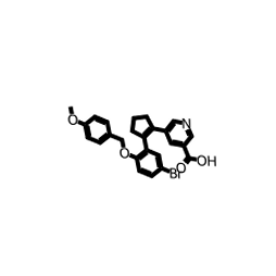 COc1ccc(COc2ccc(Br)cc2C2=C(c3cncc(C(=O)O)c3)CCC2)cc1